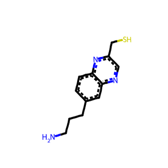 NCCCc1ccc2nc(CS)cnc2c1